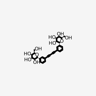 OC[C@H]1O[C@H](c2cccc(C#CC#Cc3cccc([C@H]4O[C@H](CO)[C@@H](O)[C@H](O)[C@@H]4O)c3)c2)[C@@H](O)[C@@H](O)[C@@H]1O